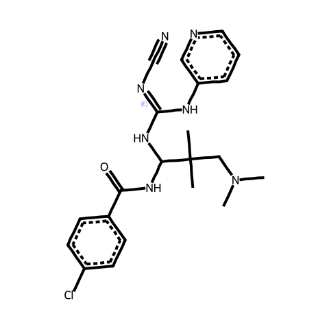 CN(C)CC(C)(C)C(NC(=O)c1ccc(Cl)cc1)N/C(=N/C#N)Nc1cccnc1